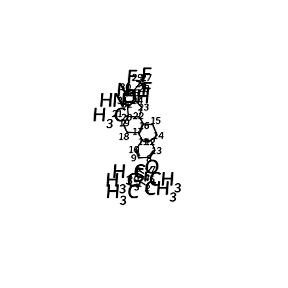 CC(C)(C)[Si](C)(C)Oc1ccc2c(c1)CCC1C2CC[C@@]2(C)C1CC1C(C(F)(F)F)=NNC12O